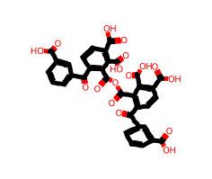 O=C(O)c1cccc(C(=O)c2ccc(C(=O)O)c(C(=O)O)c2C(=O)OC(=O)c2c(C(=O)c3cccc(C(=O)O)c3)ccc(C(=O)O)c2C(=O)O)c1